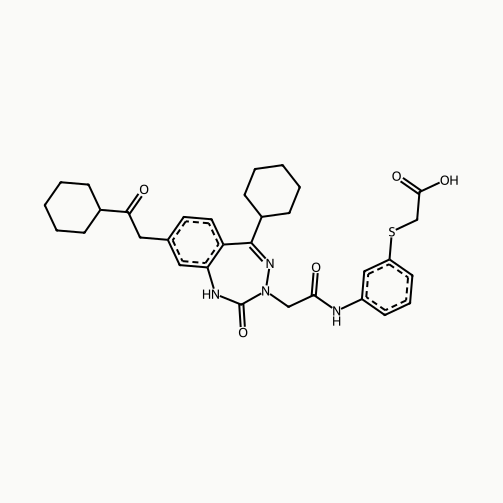 O=C(O)CSc1cccc(NC(=O)CN2N=C(C3CCCCC3)c3ccc(CC(=O)C4CCCCC4)cc3NC2=O)c1